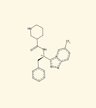 O=C(N[C@H](Cc1ccccc1)c1nnc2ccc(C(F)(F)F)cn12)C1CCCNC1